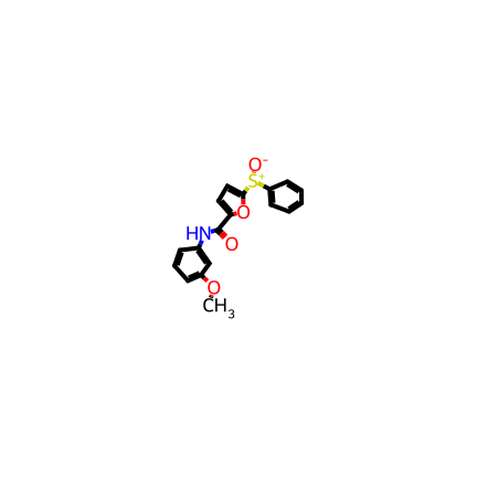 COc1cccc(NC(=O)c2ccc([S+]([O-])c3ccccc3)o2)c1